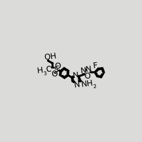 CC(CCO)S(=O)(=O)c1ccc(-c2cnc(N)c(-c3nnc(-c4ccccc4F)o3)n2)cc1